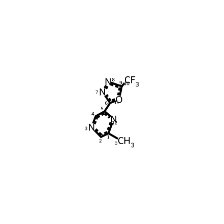 Cc1cncc(-c2nnc(C(F)(F)F)o2)n1